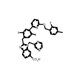 Cc1ccc(COc2cccc(-c3cc(F)c(Cc4nc5ccc(C(=O)O)cc5n4Cc4cnccn4)cc3F)n2)c(F)c1